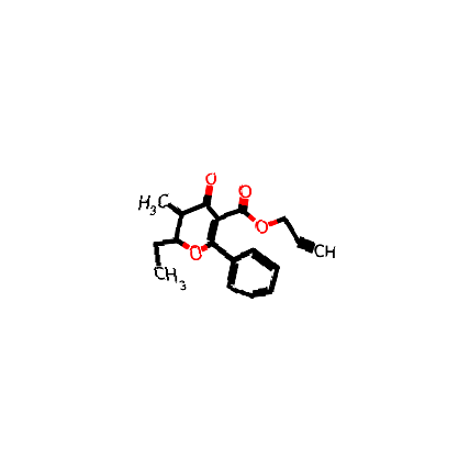 C#CCOC(=O)C1=C(c2ccccc2)OC(CC)C(C)C1=O